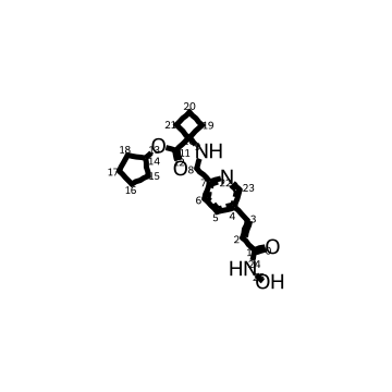 O=C(C=Cc1ccc(CNC2(C(=O)OC3CCCC3)CCC2)nc1)NO